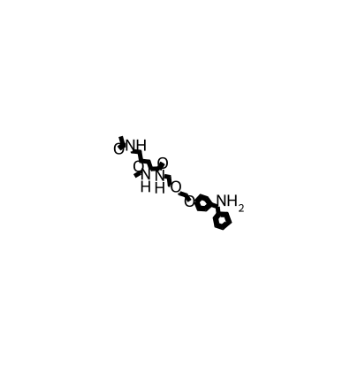 CC(=O)NCCCCC(NC(C)=O)C(=O)NCCOCCOc1ccc(C(N)c2ccccc2)cc1